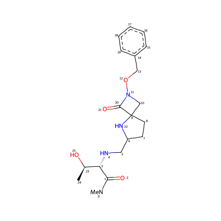 CNC(=O)[C@@H](NCC1CCC2(CN(OCc3ccccc3)C2=O)N1)[C@@H](C)O